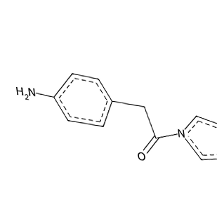 Nc1ccc(CC(=O)n2ccnc2)cc1